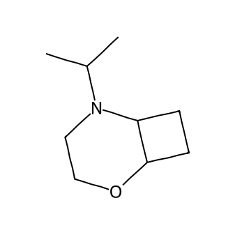 CC(C)N1CCOC2CCC21